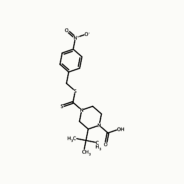 CC(C)(C)C1CN(C(=S)SCc2ccc([N+](=O)[O-])cc2)CCN1C(=O)O